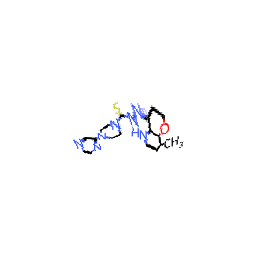 CC1C=CN=C2/C(=N\NC(=S)N3CCN(c4cnccn4)CC3)CCOC21